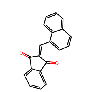 O=C1C(=Cc2cccc3ccccc23)C(=O)c2ccccc21